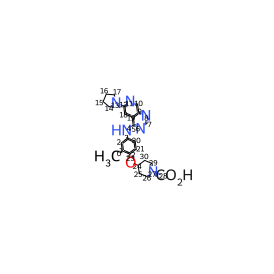 Cc1cc(Nc2ncnc3cnc(N4CCCC4)cc23)ccc1OC1CCN(C(=O)O)CC1